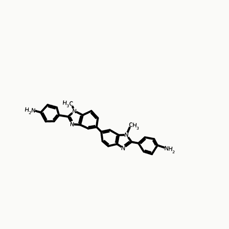 Cn1c(-c2ccc(N)cc2)nc2cc(-c3ccc4nc(-c5ccc(N)cc5)n(C)c4c3)ccc21